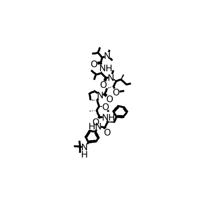 CC[C@H](C)[C@@H]([C@@H](CC(=O)N1CCC[C@H]1[C@H](OC)[C@@H](C)C(=O)N[C@@H](Cc1ccccc1)C(=O)Nc1ccc(NC(C)(C)C)cc1)OC)N(C)C(=O)[C@@H](NC(=O)C(C(C)C)N(C)C)C(C)C